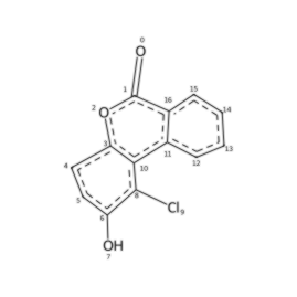 O=c1oc2ccc(O)c(Cl)c2c2ccccc12